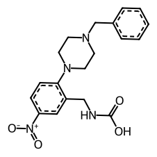 O=C(O)NCc1cc([N+](=O)[O-])ccc1N1CCN(Cc2ccccc2)CC1